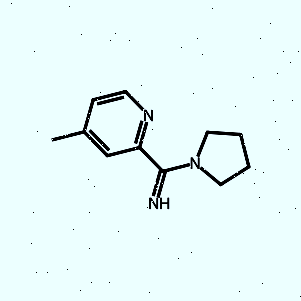 Cc1ccnc(C(=N)N2CCCC2)c1